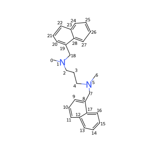 CN(CCCN(C)Cc1cccc2ccccc12)Cc1cccc2ccccc12